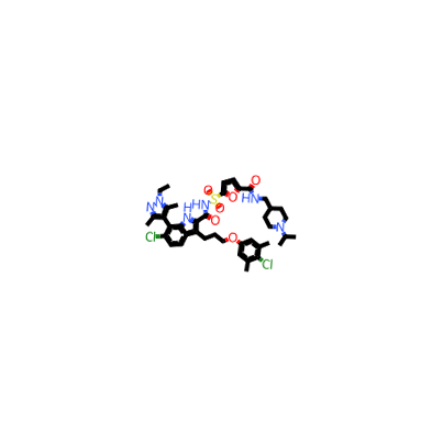 CCn1nc(C)c(-c2c(Cl)ccc3c(CCCOc4cc(C)c(Cl)c(C)c4)c(C(=O)NS(=O)(=O)c4ccc(C(=O)NCC5CCN(C(C)C)CC5)o4)[nH]c23)c1C